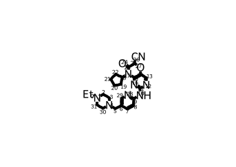 CCN1CCN(Cc2ccc(Nc3ncc4c(n3)N(C3CCCC3)C(=O)C(C#N)O4)nc2)CC1